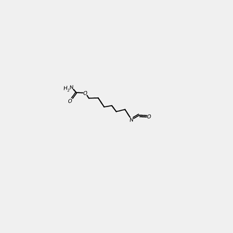 NC(=O)OCCCCCCN=C=O